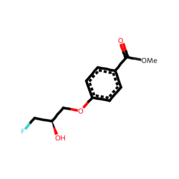 COC(=O)c1ccc(OC[C@@H](O)CF)cc1